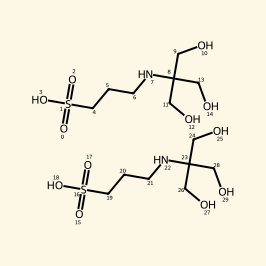 O=S(=O)(O)CCCNC(CO)(CO)CO.O=S(=O)(O)CCCNC(CO)(CO)CO